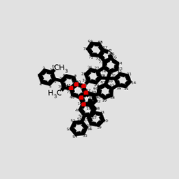 Cc1ccccc1-c1ccc(N(c2ccc(-c3ccccc3)cc2)c2ccc3c(c2)C2(c4ccccc4-c4ccc(-n5c6ccccc6c6cc(-c7ccccc7)ccc65)cc42)c2ccc4sc5ccccc5c4c2-3)cc1C